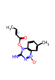 C/C=C/C(=O)On1c(=N)n[n+]([O-])c2cc(C)ccc21